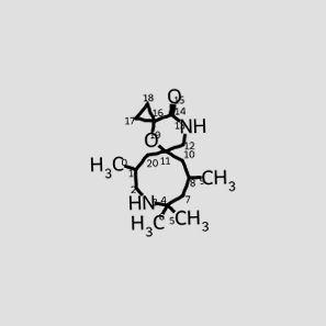 CC1CNC(C)(C)CC(C)CC2(CNC(=O)C3(CC3)O2)C1